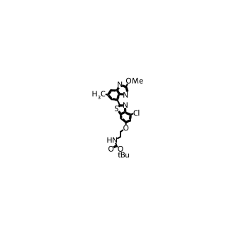 COc1cnc2c(-c3nc4c(Cl)cc(OCCNC(=O)OC(C)(C)C)cc4s3)cc(C)cc2n1